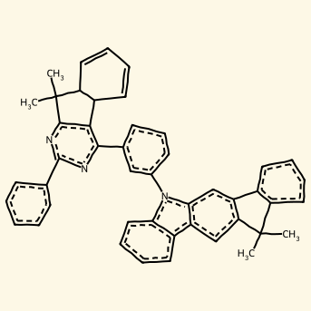 CC1(C)c2ccccc2-c2cc3c(cc21)c1ccccc1n3-c1cccc(-c2nc(-c3ccccc3)nc3c2C2C=CC=CC2C3(C)C)c1